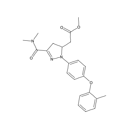 COC(=O)CC1CC(C(=O)N(C)C)=NN1c1ccc(Oc2ccccc2C)cc1